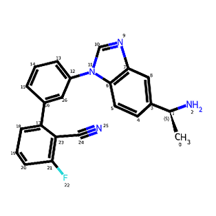 C[C@H](N)c1ccc2c(c1)ncn2-c1cccc(-c2cccc(F)c2C#N)c1